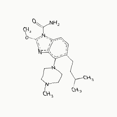 COc1nc2c(N3CCN(C)CC3)c(CCC(C)C)ccc2n1C(N)=O